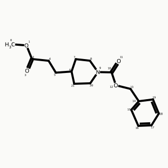 COC(=O)CCC1CCN(C(=O)OCc2ccccc2)CC1